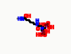 [NH]C(O)CCCCCNC(=O)CN(CP(=O)(O)O)CP(=O)(O)O